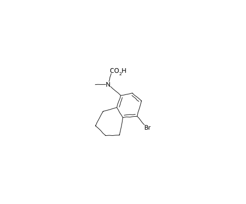 CN(C(=O)O)c1ccc(Br)c2c1CCCC2